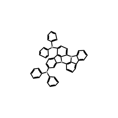 c1ccc(N(c2ccccc2)c2ccc3c4c(N(c5ccccc5)c5ccccc5)ccc5c4n(c3c2)c2cccc3c4ccccc4n5c32)cc1